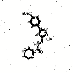 CCCCCCCCCCc1ccc(-c2noc(CNC(=O)[C@H]3CNCCO3)n2)cc1.Cl